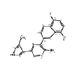 Cc1n[nH]cc1-c1cnc(N)c(-c2cc3c(Cl)ccc(F)c3cn2)c1